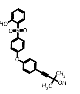 CC(C)(O)C#Cc1ccc(Oc2ccc(S(=O)(=O)c3ccccc3O)cc2)cc1